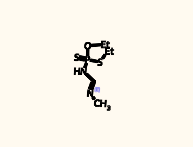 CCOP(=S)(N/C=N/C)SCC